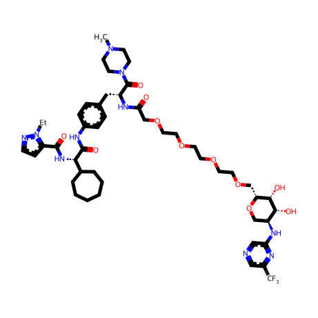 CCn1nccc1C(=O)N[C@H](C(=O)Nc1ccc(C[C@@H](NC(=O)COCCOCCOCCOC[C@H]2OC[C@H](Nc3cncc(C(F)(F)F)n3)[C@@H](O)[C@H]2O)C(=O)N2CCN(C)CC2)cc1)C1CCCCCC1